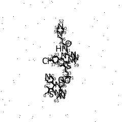 Cc1sc2c(c1C)C(c1ccncc1)=NC(CC(=O)OC(C)(C)CCc1sc3c(c1C)C(c1ccc(Cl)cc1)=NC(CNC(=O)CCCN1CCN(C)CC1)c1nnc(C)n1-3)c1nnc(C)n1-2